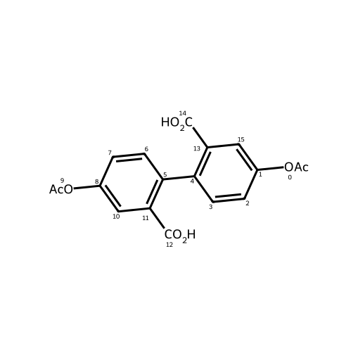 CC(=O)Oc1ccc(-c2ccc(OC(C)=O)cc2C(=O)O)c(C(=O)O)c1